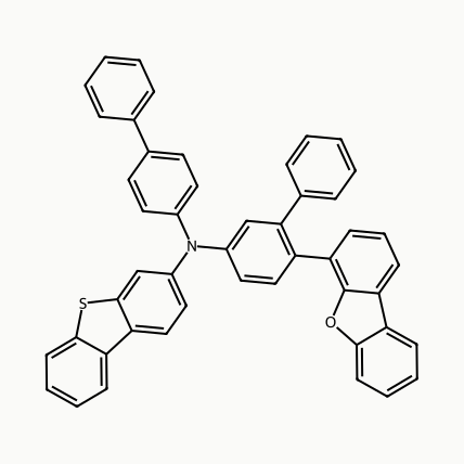 c1ccc(-c2ccc(N(c3ccc(-c4cccc5c4oc4ccccc45)c(-c4ccccc4)c3)c3ccc4c(c3)sc3ccccc34)cc2)cc1